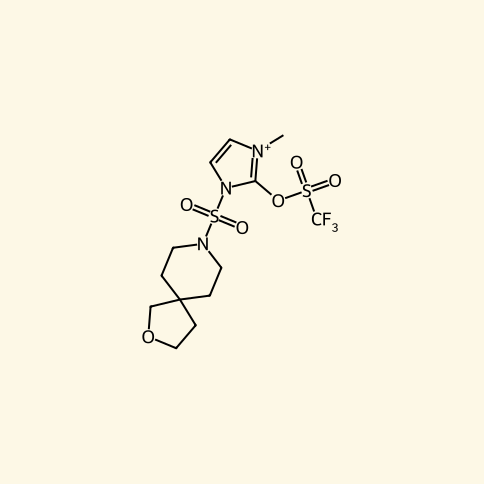 C[n+]1ccn(S(=O)(=O)N2CCC3(CCOC3)CC2)c1OS(=O)(=O)C(F)(F)F